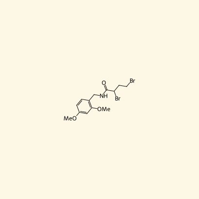 COc1ccc(CNC(=O)C(Br)CCBr)c(OC)c1